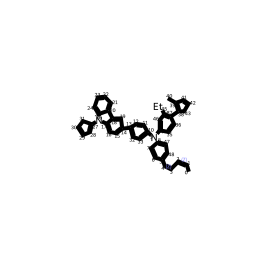 C/C=C\C=C/c1ccc(N(c2ccc(-c3ccc4c(c3)c3ccccc3n4C3=CC=CC3)cc2)c2ccc(C3=C(C)C=CC3)c(CC)c2)cc1